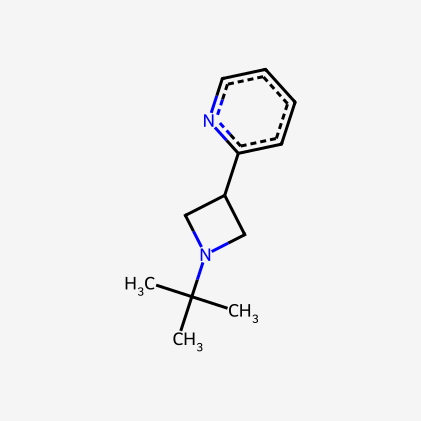 CC(C)(C)N1CC(c2ccccn2)C1